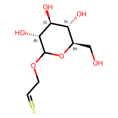 OC[C@H]1OC(OCC=S)[C@H](O)[C@@H](O)[C@@H]1O